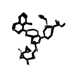 C=CC(=O)N1CCN(c2nc(OCCN(C)C3S[C@@]3(C)C3CC3)nc3c2CCN(c2cncc4cccc(C)c24)C3)C[C@@H]1CC#N